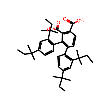 CCC(C)(C)c1ccc(-c2ccc(C(=O)O)c(C(=O)O)c2-c2ccc(C(C)(C)CC)cc2C(C)(C)CC)c(C(C)(C)CC)c1